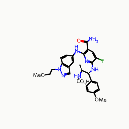 COCCn1ncc2cc(Nc3nc(N[C@@H](c4ccc(OC)cc4)[C@H](C)NC(=O)O)c(F)cc3C(N)=O)ccc21